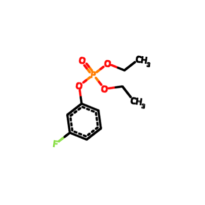 CCOP(=O)(OCC)Oc1cccc(F)c1